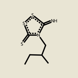 CCC(C)Cn1c(=N)ssc1=S